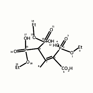 CCOP(=O)(O)/C(C(=O)O)=C(/C)C(P(=O)(O)OCC)P(=O)(O)OCC